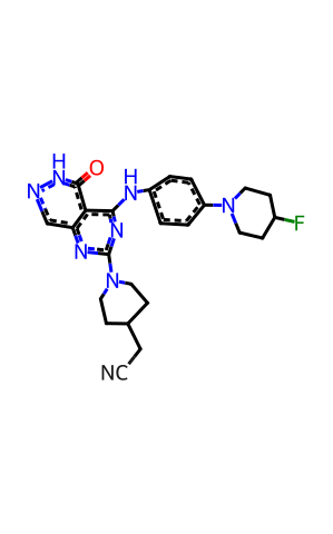 N#CCC1CCN(c2nc(Nc3ccc(N4CCC(F)CC4)cc3)c3c(=O)[nH]ncc3n2)CC1